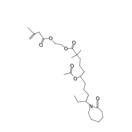 C=C(C)CC(=O)OCCOC(=O)C(C)(C)CCCC(CCCC(CC)N1CCCCCC1=O)OC(C)=O